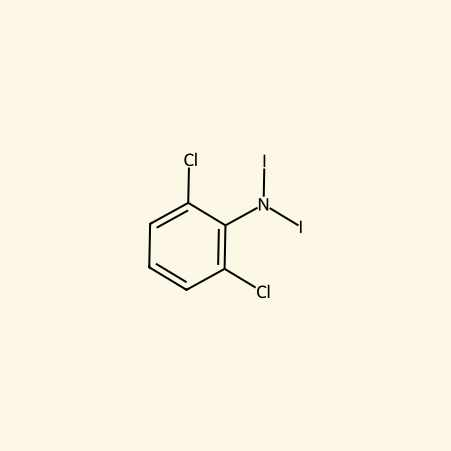 Clc1cccc(Cl)c1N(I)I